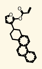 C=CC(=O)Oc1occc1C1CCc2c(ccc3c2ccc2ccccc23)C1